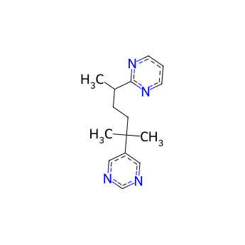 CC(CCC(C)(C)c1cncnc1)c1ncccn1